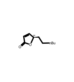 CCCCCC[C@@H]1C=CC(=O)O1